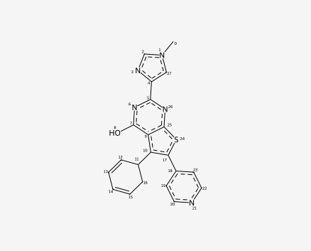 Cn1cnc(-c2nc(O)c3c(C4C=CC=CC4)c(-c4ccncc4)sc3n2)c1